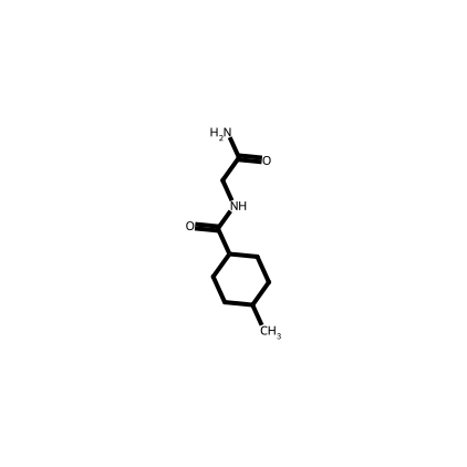 CC1CCC(C(=O)NCC(N)=O)CC1